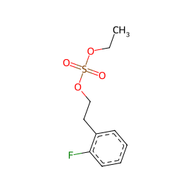 CCOS(=O)(=O)OCCc1ccccc1F